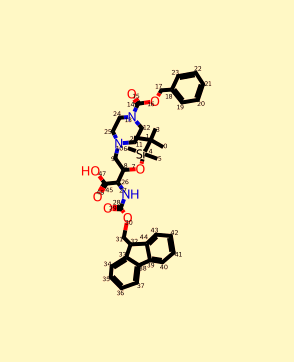 CC(C)(C)[Si](C)(C)OC(CN1CCN(C(=O)OCc2ccccc2)CC1)C(NC(=O)OCC1c2ccccc2-c2ccccc21)C(=O)O